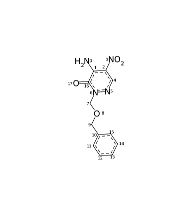 Nc1c([N+](=O)[O-])cnn(COCc2ccccc2)c1=O